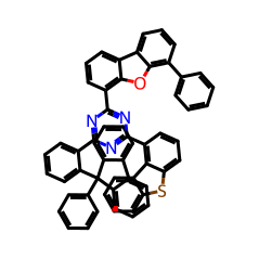 c1ccc(-c2cccc3c2oc2c(-c4nc(-c5ccccc5C5(c6ccccc6)c6ccccc6-c6ccccc65)nc(-c5cccc6sc7ccccc7c56)n4)cccc23)cc1